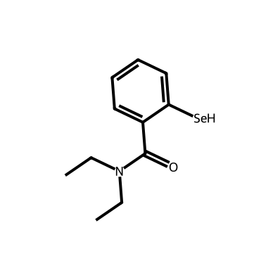 CCN(CC)C(=O)c1ccccc1[SeH]